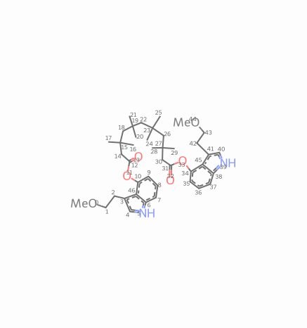 COCCc1c[nH]c2cccc(OC(=O)CC(C)(C)CC(C)(C)CC(C)(C)CC(C)(C)CC(=O)Oc3cccc4[nH]cc(CCOC)c34)c12